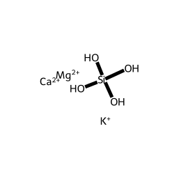 O[Si](O)(O)O.[Ca+2].[K+].[Mg+2]